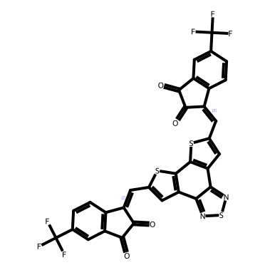 O=C1C(=O)c2cc(C(F)(F)F)ccc2/C1=C/c1cc2c3nsnc3c3cc(/C=C4\C(=O)C(=O)c5cc(C(F)(F)F)ccc54)sc3c2s1